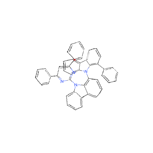 c1ccc(-c2cc(-c3ccccc3)nc(-n3c4ccccc4c4cccc(-n5c6ccccc6c6cccc(-c7ccccc7)c65)c43)n2)cc1